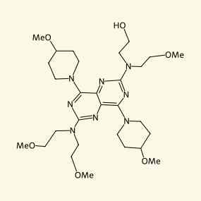 COCCN(CCO)c1nc(N2CCC(OC)CC2)c2nc(N(CCOC)CCOC)nc(N3CCC(OC)CC3)c2n1